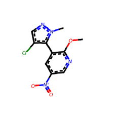 COc1ncc([N+](=O)[O-])cc1-c1c(Cl)cnn1C